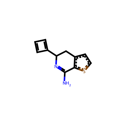 NC1=NC(C2=CC=C2)Cc2ccsc21